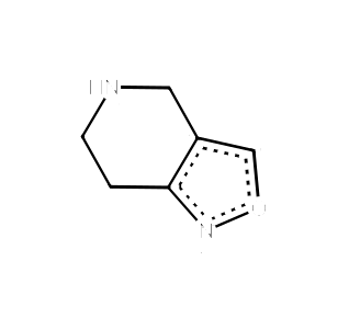 [c]1onc2c1CNCC2